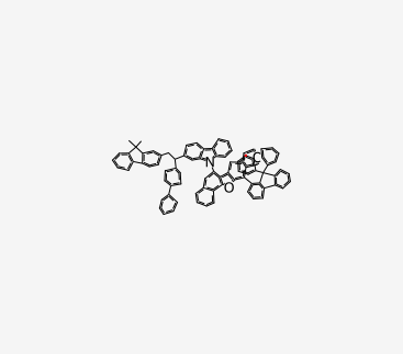 CC1(C)c2ccccc2-c2ccc(CC(c3ccc(-c4ccccc4)cc3)c3ccc4c5ccccc5n(-c5cc6ccccc6c6oc7c(-c8cccc9c8C(c8ccccc8)(c8ccccc8)c8ccccc8-9)c8ccccc8cc7c56)c4c3)cc21